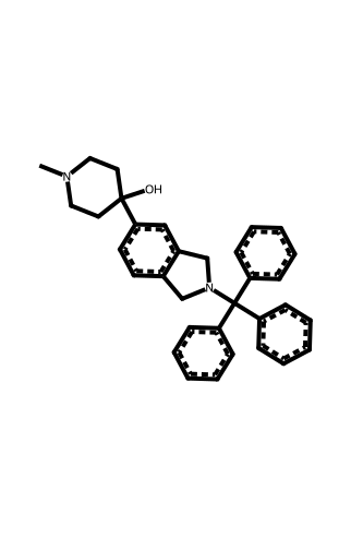 CN1CCC(O)(c2ccc3c(c2)CN(C(c2ccccc2)(c2ccccc2)c2ccccc2)C3)CC1